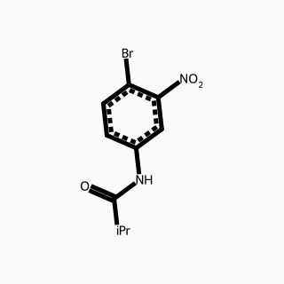 CC(C)C(=O)Nc1ccc(Br)c([N+](=O)[O-])c1